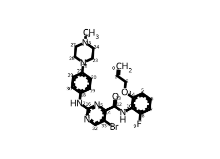 C=CCOc1cccc(F)c1NC(=O)c1nc(Nc2ccc(N3CCN(C)CC3)cc2)ncc1Br